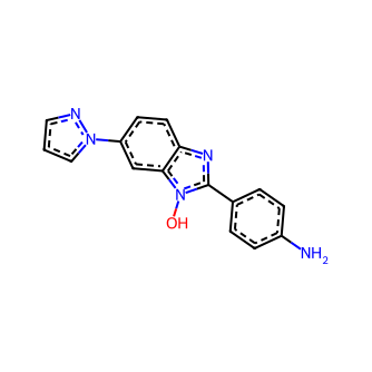 Nc1ccc(-c2nc3ccc(-n4cccn4)cc3n2O)cc1